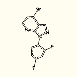 Fc1ccc(-n2ncc3c(Br)ccnc32)c(F)c1